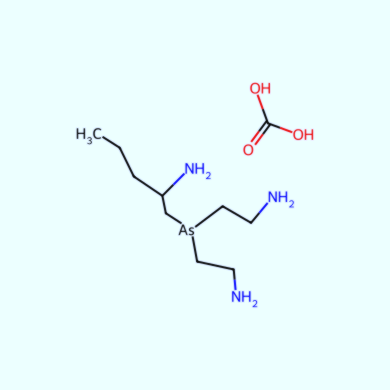 CCCC(N)C[As](CCN)CCN.O=C(O)O